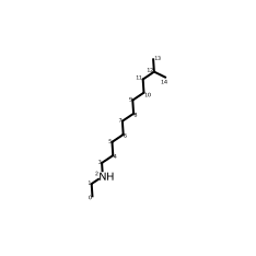 CCNCCCCCCCCCC(C)C